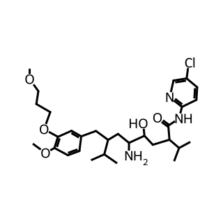 COCCCOc1cc(CC(CC(N)C(O)CC(C(=O)Nc2ccc(Cl)cn2)C(C)C)C(C)C)ccc1OC